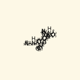 Cc1cccc(Cl)c1Nc1nc2cc(OCCN3CCOCC3)c(-c3ccc(CNCCCN(C)C)cc3)cc2n2cncc12